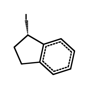 I[C@H]1CCc2ccccc21